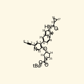 CC#Cc1cc(-c2ccn3nc(NC(=O)C4CC4)cc3c2)c(O[C@H]2CCN(C(=O)OC(C)(C)C)C2)cn1